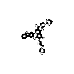 O=C(c1cn2c3c(c(NCCCN4CCOCC4)c(F)cc3c1=O)Oc1cc3c(cc1-2)oc1ccccc13)N1CCN(c2ncccn2)CC1